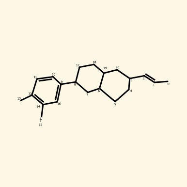 C/C=C/C1CCC2CC(c3ccc(C)c(F)c3)CCC2C1